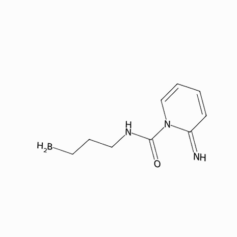 BCCCNC(=O)n1ccccc1=N